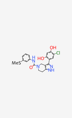 CSc1cccc(NC(=O)N2CCc3[nH]nc(-c4cc(Cl)c(O)cc4O)c3C2)c1